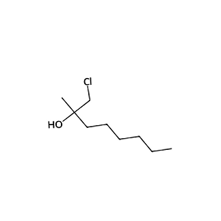 CCCCCCC(C)(O)CCl